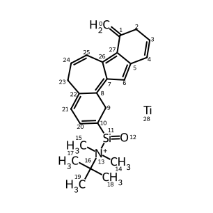 C=C1CC=CC2=CC3=C4CC([Si](=O)[N+](C)(C)C(C)(C)C)=CC=C4CC=CC3=C12.[Ti]